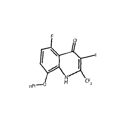 CCCOc1ccc(F)c2c(=O)c(I)c(C(F)(F)F)[nH]c12